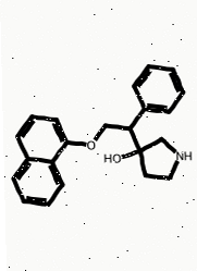 OC1(C(COc2cccc3ccccc23)c2ccccc2)CCNC1